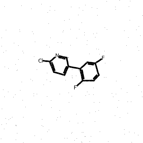 Fc1ccc(F)c(-c2[c]nc(Cl)cc2)c1